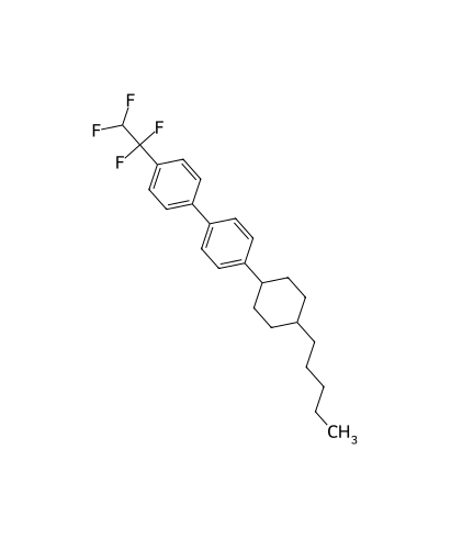 CCCCCC1CCC(c2ccc(-c3ccc(C(F)(F)C(F)F)cc3)cc2)CC1